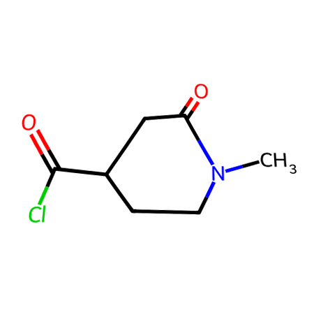 CN1CCC(C(=O)Cl)CC1=O